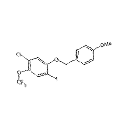 COc1ccc(COc2cc(Cl)c(OC(F)(F)F)cc2I)cc1